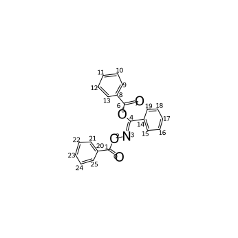 O=C(O/N=C(\OC(=O)c1ccccc1)c1ccccc1)c1ccccc1